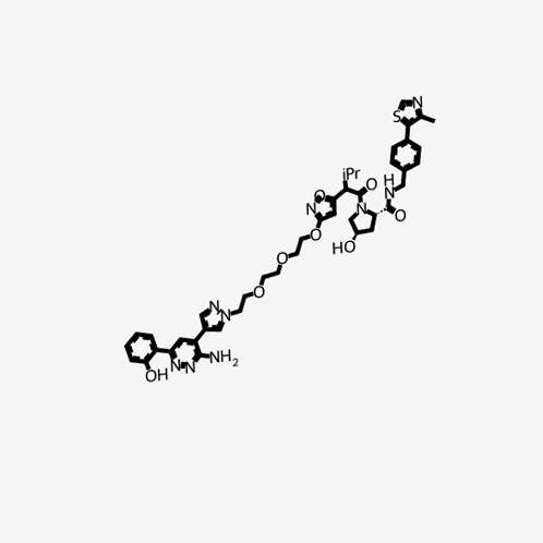 Cc1ncsc1-c1ccc(CNC(=O)[C@@H]2C[C@@H](O)CN2C(=O)C(c2cc(OCCOCCOCCn3cc(-c4cc(-c5ccccc5O)nnc4N)cn3)no2)C(C)C)cc1